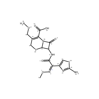 CO/N=C(\C(=O)NC1C(=O)N2C(C(=O)O)=C(CON)CSC12)c1csc(N)n1